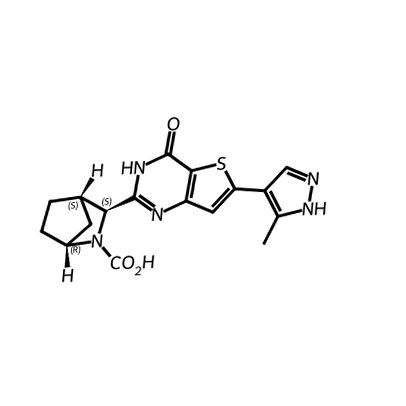 Cc1[nH]ncc1-c1cc2nc([C@@H]3[C@H]4CC[C@H](C4)N3C(=O)O)[nH]c(=O)c2s1